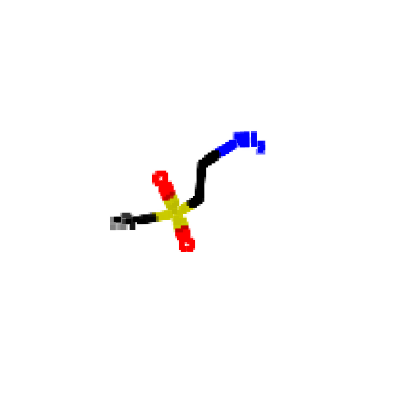 CCCS(=O)(=O)CCN